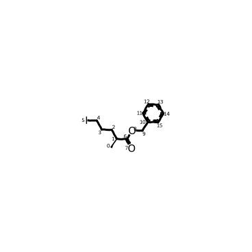 C[C@@H](CCCI)C(=O)OCc1ccccc1